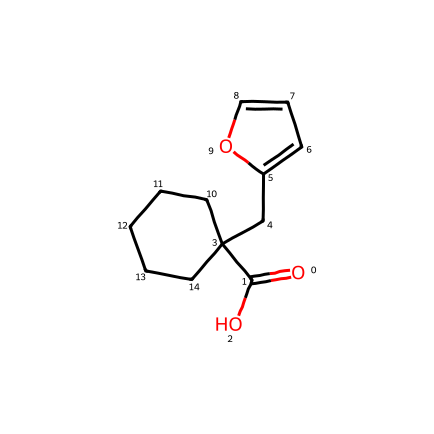 O=C(O)C1(Cc2ccco2)CCCCC1